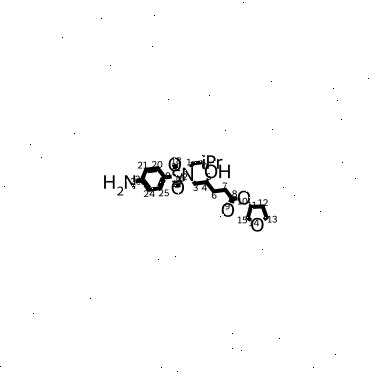 CC(C)CN(C[C@@H](O)CCC(=O)O[C@H]1CCOC1)S(=O)(=O)c1ccc(N)cc1